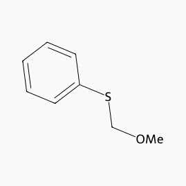 [CH2]OCSc1ccccc1